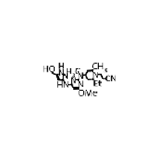 CCC1CC(N(C)c2nc(Nc3cc(CO)[nH]n3)cc(OC)n2)CC(C)N1CCC#N